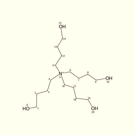 OCCCC[N+](CCCCO)(CCCCO)CCCCO